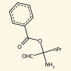 CCCC(N)(C=O)OC(=O)c1ccccc1